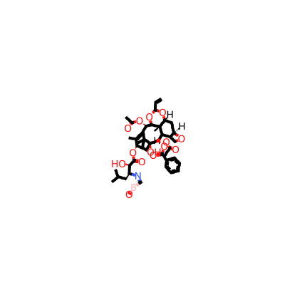 C=CC1OC2[C@@H](OC(C)=O)C3=C(C)[C@@H](OC(=O)[C@H](O)[C@H](CC(C)C)/N=C\B=O)C[C@@](O)([C@@H](OC(=O)c4ccccc4)[C@@H]4[C@]5(OC(C)=O)CO[C@@H]5C[C@H](O1)[C@@]24C)C3(C)C